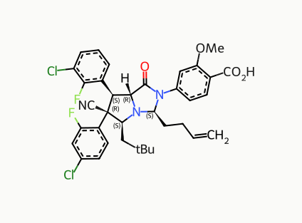 C=CCC[C@@H]1N(c2ccc(C(=O)O)c(OC)c2)C(=O)[C@H]2[C@H](c3cccc(Cl)c3F)[C@@](C#N)(c3ccc(Cl)cc3F)[C@H](CC(C)(C)C)N12